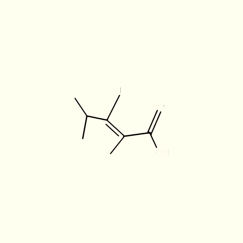 C/C(C(=O)O)=C(/F)C(C)C